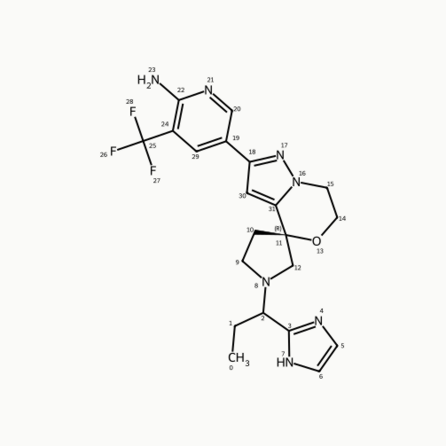 CCC(c1ncc[nH]1)N1CC[C@]2(C1)OCCn1nc(-c3cnc(N)c(C(F)(F)F)c3)cc12